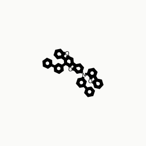 c1ccc(-c2cccc(-c3c4oc5cc(N(c6cccc(-c7ccccc7)c6)c6cccc7c6oc6ccccc67)ccc5c4cc4oc5ccccc5c34)c2)cc1